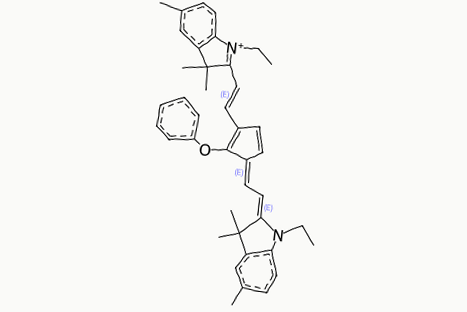 CCN1/C(=C/C=C2\C=CC(/C=C/C3=[N+](CC)c4ccc(C)cc4C3(C)C)=C2Oc2ccccc2)C(C)(C)c2cc(C)ccc21